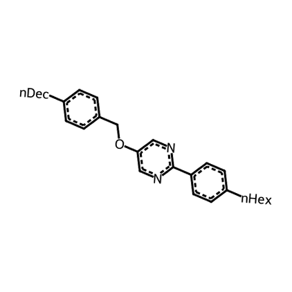 CCCCCCCCCCc1ccc(COc2cnc(-c3ccc(CCCCCC)cc3)nc2)cc1